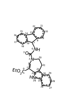 CCOC(=O)C1=CN(C(=O)NC2c3ccccc3-c3ccccc32)CCc2c1[nH]c1ccccc21